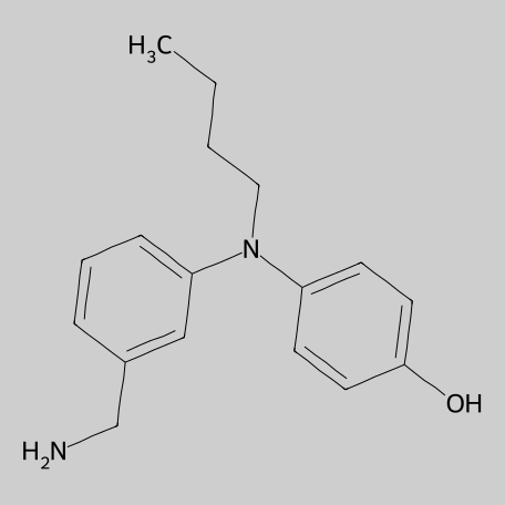 CCCCN(c1ccc(O)cc1)c1cccc(CN)c1